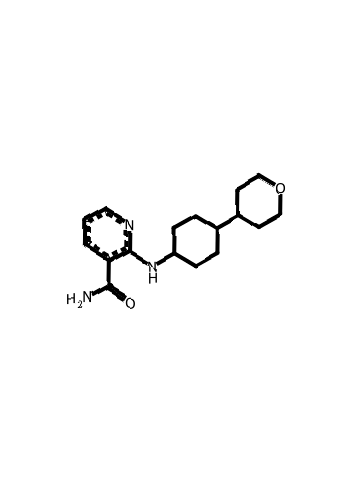 NC(=O)c1cccnc1NC1CCC(C2CCOCC2)CC1